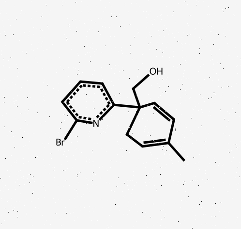 CC1=CCC(CO)(c2cccc(Br)n2)C=C1